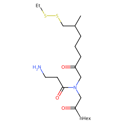 CCCCCCC(=O)CN(CC(=O)CCCC(C)CSSCC)C(=O)CCN